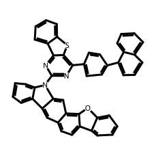 c1ccc2c(-c3ccc(-c4nc(-n5c6ccccc6c6cc7ccc8c9ccccc9oc8c7cc65)nc5c4sc4ccccc45)cc3)cccc2c1